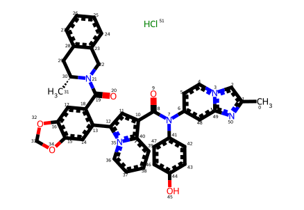 Cc1cn2ccc(N(C(=O)c3cc(-c4cc5c(cc4C(=O)N4Cc6ccccc6C[C@H]4C)OCO5)n4ccccc34)c3ccc(O)cc3)cc2n1.Cl